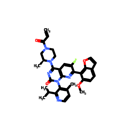 C=CC(=O)N1CCN(c2nc(=O)n(-c3c(C)ccnc3C(C)C)c3nc(-c4c(OC)ccc5ccoc45)c(F)cc23)[C@@H](C)C1